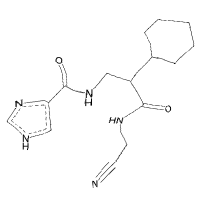 N#CCNC(=O)C(CNC(=O)c1c[nH]cn1)C1CCCCC1